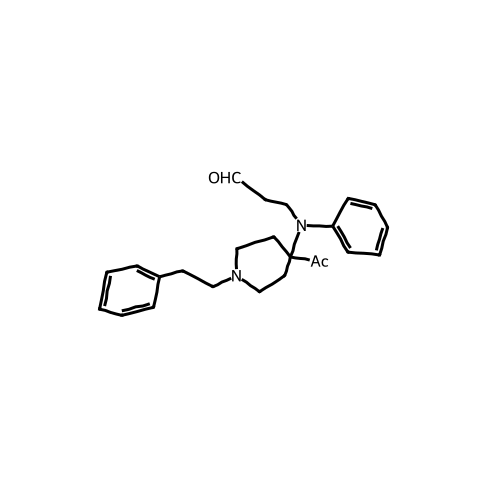 CC(=O)C1(N(CCC=O)c2ccccc2)CCN(CCc2ccccc2)CC1